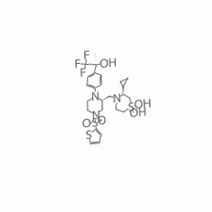 C[C@](O)(c1ccc(N2CCN(S(=O)(=O)c3cccs3)C[C@@H]2CN2CCS(O)(O)C[C@@H]2C2CC2)cc1)C(F)(F)F